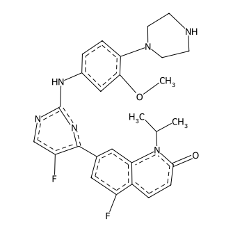 COc1cc(Nc2ncc(F)c(-c3cc(F)c4ccc(=O)n(C(C)C)c4c3)n2)ccc1N1CCNCC1